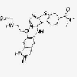 CN(C)C(=O)[C@H]1CCc2c(sc3ncnc(Nc4cc5c(cc4OCCNCC(C)(C)C)NNC5)c23)C1